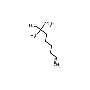 C=CCCCCC(C)(C)C(=O)O